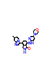 Cc1ccn2c(-c3ccc(Nc4ccc(N5CCOCC5)cn4)c4c3CNC4=O)cnc2c1